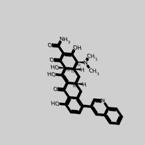 CN(C)[C@@H]1C(O)=C(C(N)=O)C(=O)[C@@]2(O)C(O)=C3C(=O)c4c(O)ccc(-c5cnc6ccccc6c5)c4C[C@H]3C[C@@H]12